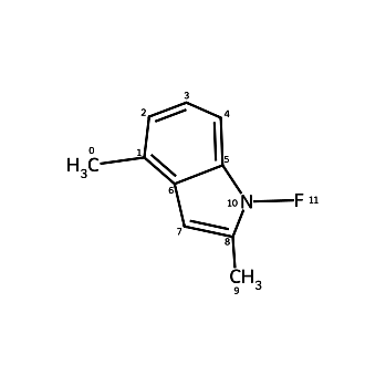 Cc1cccc2c1cc(C)n2F